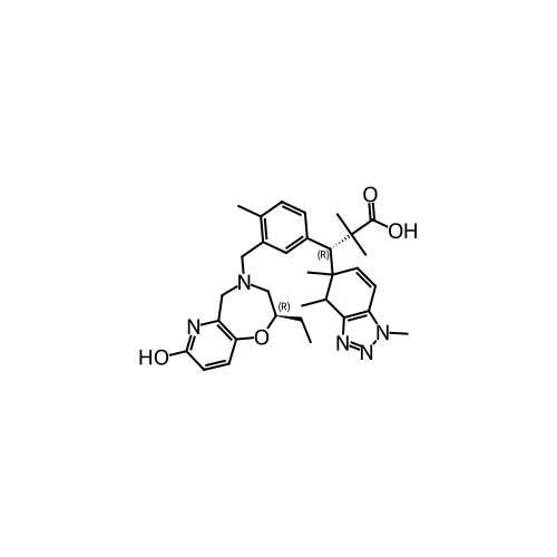 CC[C@@H]1CN(Cc2cc([C@H](C(C)(C)C(=O)O)C3(C)C=Cc4c(nnn4C)C3C)ccc2C)Cc2nc(O)ccc2O1